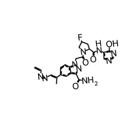 C=C/N=N\C=C(/C)c1ccc2c(c1)c(C(N)=O)nn2CC(=O)N1CC(F)CC1C(=O)Nc1cncnc1O